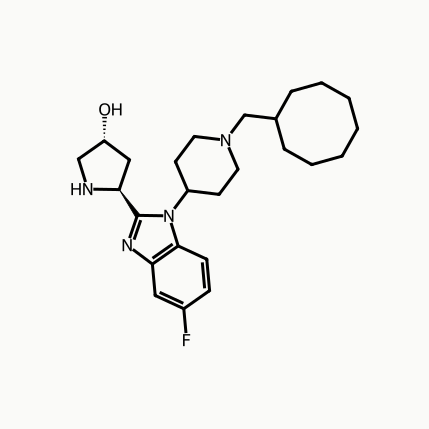 O[C@H]1CN[C@H](c2nc3cc(F)ccc3n2C2CCN(CC3CCCCCCC3)CC2)C1